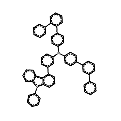 c1ccc(-c2cccc(-c3ccc(N(c4ccc(-c5ccccc5-c5ccccc5)cc4)c4cccc(-c5cccc6c5c5ccccc5n6-c5ccccc5)c4)cc3)c2)cc1